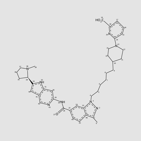 Cc1nn(CCCCCCC2CCN(c3cccc(C(=O)O)n3)CC2)c2cc(C(=O)Nc3cc4[nH]c([C@H]5CCCN5C)cc4cn3)ccc12